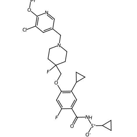 CC(C)Oc1ncc(CN2CCC(F)(COc3cc(F)c(C(=O)N[S+]([O-])C4CC4)cc3C3CC3)CC2)cc1Cl